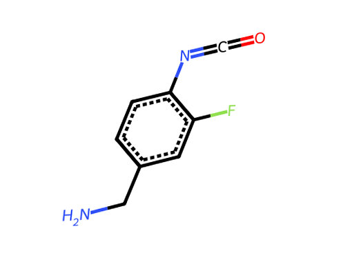 NCc1ccc(N=C=O)c(F)c1